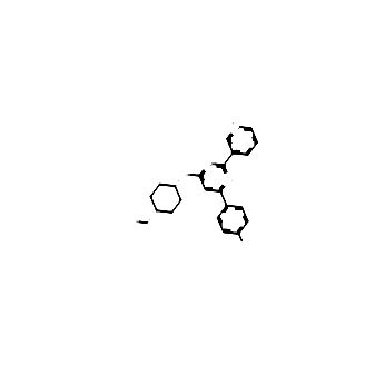 OC[C@H]1CC[C@@H](Nc2cc(-c3ccc(Cl)cc3)nc(-c3cccnc3)n2)CC1